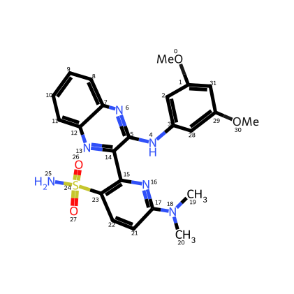 COc1cc(Nc2nc3ccccc3nc2-c2nc(N(C)C)ccc2S(N)(=O)=O)cc(OC)c1